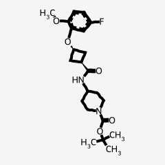 COc1ccc(F)cc1O[C@H]1C[C@H](C(=O)NC2CCN(C(=O)OC(C)(C)C)CC2)C1